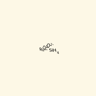 [O-2].[O-2].[Ru+4].[SiH4]